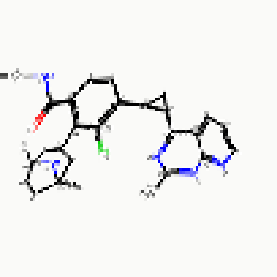 CNC(=O)c1ccc(C2CC2c2nc(C)nc3ncccc23)c(Cl)c1C1C[C@H]2CC[C@@H](C1)N2